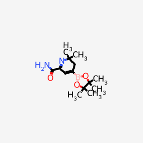 CC1(C)CC(B2OC(C)(C)C(C)(C)O2)=CC(C(N)=O)=N1